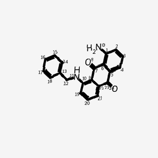 Nc1cccc2c1C(=O)c1c(NCc3ccccc3)cccc1C2=O